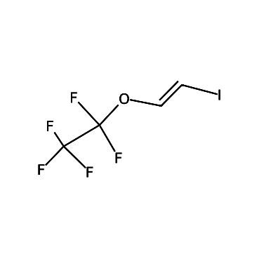 FC(F)(F)C(F)(F)OC=CI